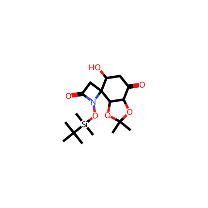 CC1(C)OC2C(=O)CC(O)C3(CC(=O)N3O[Si](C)(C)C(C)(C)C)C2O1